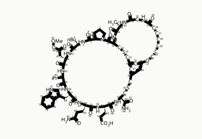 CCCC[C@@H]1NC(=O)[C@@H]2CCCN2C(=O)[C@@H]2CSCc3cc(cc(c3)OCCCCCCC(=O)NCC(=O)N[C@@H](C)C(=O)N2)CSC[C@@H](C(N)=O)NC(=O)[C@H](CCC(=O)O)NC(=O)[C@H](CCC(N)=O)NC(=O)[C@H](Cc2c[nH]c3ccccc23)NC(=O)C(C(C)C)NC(=O)[C@H](CC(=O)OOC)NC1=O